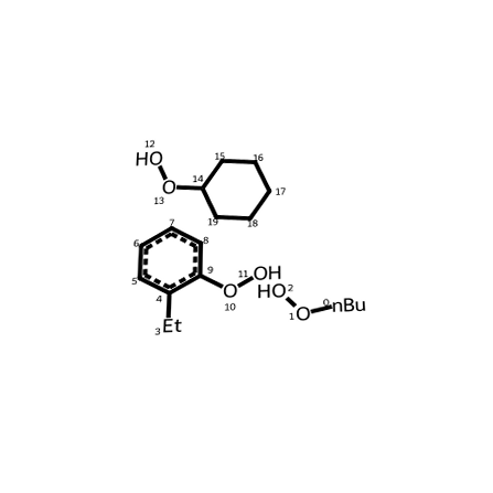 CCCCOO.CCc1ccccc1OO.OOC1CCCCC1